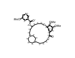 COc1cncc(C(=O)OC2CCCOc3cc(cc(OC)c3OC)C(=O)OCCCN3CCCN(CC2)CC3)c1